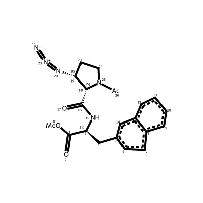 COC(=O)[C@H](Cc1ccc2ccccc2c1)NC(=O)[C@@H]1[C@H](N=[N+]=[N-])CCN1C(C)=O